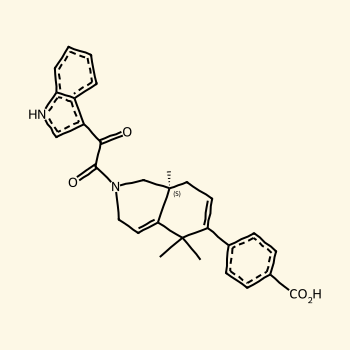 CC1(C)C(c2ccc(C(=O)O)cc2)=CC[C@]2(C)CN(C(=O)C(=O)c3c[nH]c4ccccc34)CC=C12